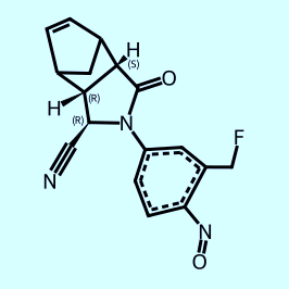 N#C[C@H]1[C@@H]2C3C=CC(C3)[C@@H]2C(=O)N1c1ccc(N=O)c(CF)c1